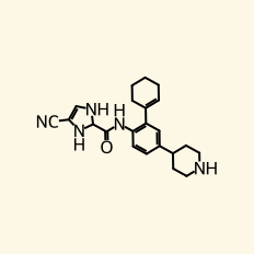 N#CC1=CNC(C(=O)Nc2ccc(C3CCNCC3)cc2C2=CCCCC2)N1